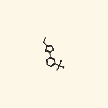 FC(F)(F)c1cccc(-c2nc(CI)cs2)c1